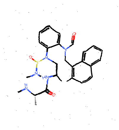 CN[C@@H](C)C(=O)NC(C)CN(c1ccccc1N(C=O)Cc1c(C)ccc2ccccc12)[S+]([O-])N(C)C